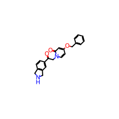 O=C(Cn1ccc(OCc2ccccc2)cc1=O)c1ccc2c(c1)CNC2